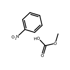 COC(=O)O.O=[N+]([O-])c1ccccc1